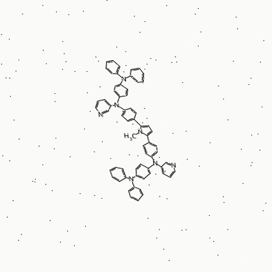 Cn1c(-c2ccc(N(c3ccc(N(c4ccccc4)c4ccccc4)cc3)c3cccnc3)cc2)ccc1-c1ccc(N(c2ccc(N(c3ccccc3)c3ccccc3)cc2)c2cccnc2)cc1